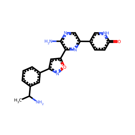 CC(N)c1cccc(-c2cc(-c3nc(-c4ccc(=O)[nH]c4)cnc3N)on2)c1